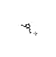 COc1c(C=CC(=O)OO[Si](C)(C)C)c([SiH3])c(CCC(C)C)c(OC)c1OC